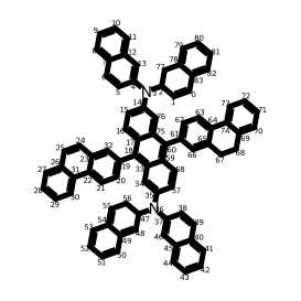 C1=CC(N(c2ccc3ccccc3c2)c2ccc3c(-c4ccc5c(ccc6ccccc65)c4)c4cc(N(c5ccc6ccccc6c5)C5C=c6ccccc6=CC5)ccc4c(-c4ccc5c(c4)CCc4ccccc4-5)c3c2)Cc2ccccc21